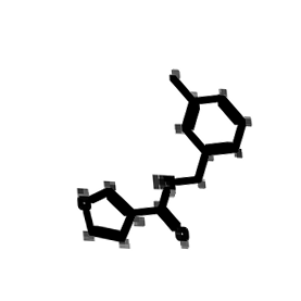 Cc1cccc(CNC(=O)c2ccoc2)c1